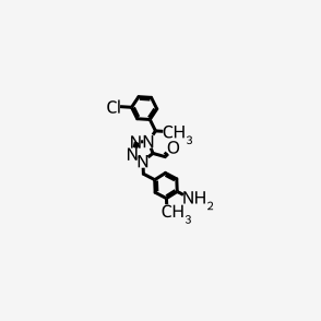 Cc1cc(CN2N=NN(C(C)c3cccc(Cl)c3)C2C=O)ccc1N